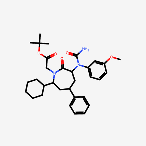 COc1cccc(N(C(N)=O)C2CC(c3ccccc3)CC(C3CCCCC3)N(CC(=O)OC(C)(C)C)C2=O)c1